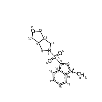 Cn1cc(S(=O)(=O)N2CC3COCC3C2)c2ccccc21